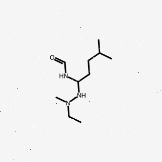 CCN(C)NC(CCC(C)C)NC=O